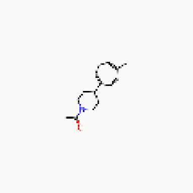 CC(=O)N1CCC(C2=CCC=C(C)C=C2)CC1